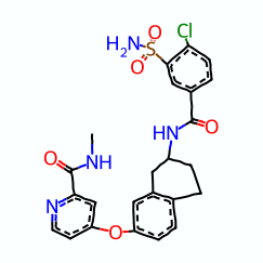 CNC(=O)c1cc(Oc2ccc3c(c2)CC(NC(=O)c2ccc(Cl)c(S(N)(=O)=O)c2)CC3)ccn1